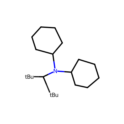 CC(C)(C)[C](N(C1CCCCC1)C1CCCCC1)C(C)(C)C